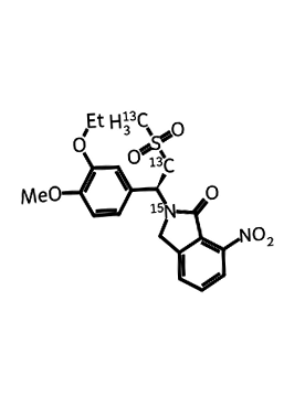 CCOc1cc([C@@H]([13CH2]S([13CH3])(=O)=O)[15N]2Cc3cccc([N+](=O)[O-])c3C2=O)ccc1OC